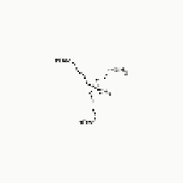 CCCCCCCCCCCCCC[N+](C)(CCC[SiH3])CCCCCCCCCCCCCC